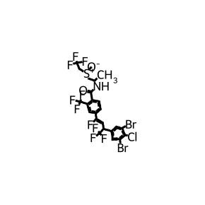 CC(C[S+]([O-])CC(F)(F)F)NC(=O)c1ccc(/C(F)=C/C(c2cc(Br)c(Cl)c(Br)c2)C(F)(F)F)cc1C(F)(F)F